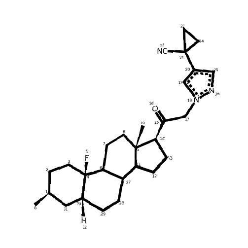 C[C@H]1CC[C@]2(F)C3CC[C@@]4(C)C(CC[C@@H]4C(=O)Cn4cc(C5(C#N)CC5)cn4)C3CC[C@@H]2C1